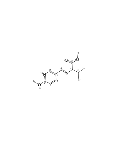 COC(=O)C(N=Cc1ccc(OC)nc1)C(C)C